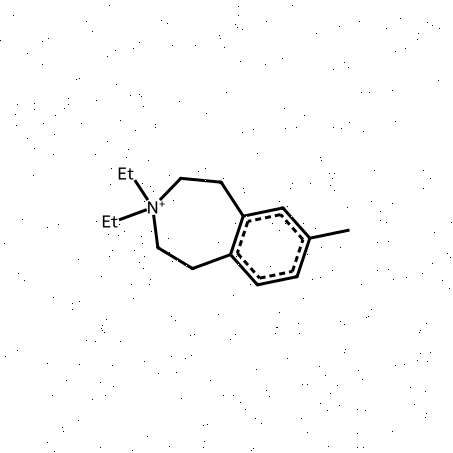 CC[N+]1(CC)CCc2ccc(C)cc2CC1